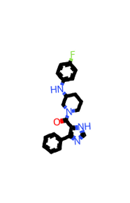 O=C(c1[nH]cnc1-c1ccccc1)N1CCCC(Nc2ccc(F)cc2)C1